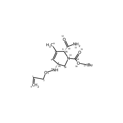 C=CCON[C@@H]1C=C(C)[C@H](C(N)=O)N(C(=O)OC(C)(C)C)C1